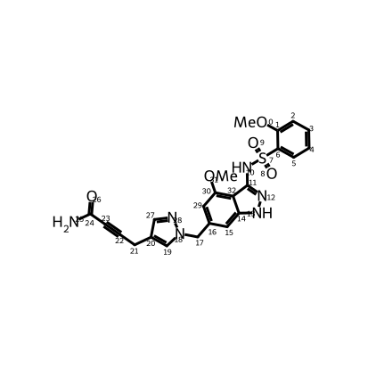 COc1ccccc1S(=O)(=O)Nc1n[nH]c2cc(Cn3cc(CC#CC(N)=O)cn3)cc(OC)c12